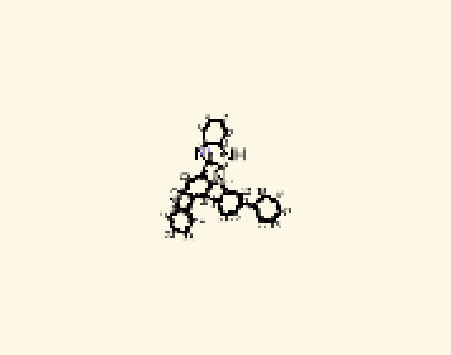 N=C1C=CC=C/C1=N/c1cn2c3cc(-c4ccccc4)ccc3c3c4c(cc1c32)oc1ccccc14